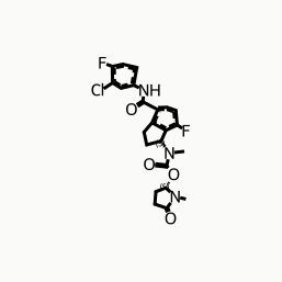 CN1C(=O)CC[C@@H]1OC(=O)N(C)[C@H]1CCc2c(C(=O)Nc3ccc(F)c(Cl)c3)ccc(F)c21